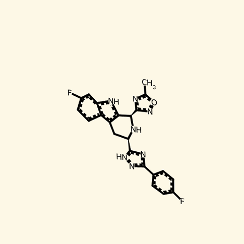 Cc1nc([C@H]2N[C@@H](c3nc(-c4ccc(F)cc4)n[nH]3)Cc3c2[nH]c2cc(F)ccc32)no1